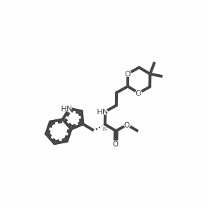 COC(=O)[C@H](Cc1c[nH]c2ccccc12)NCCC1OCC(C)(C)CO1